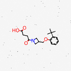 CC(C)(C)c1ccccc1OCC1CN(C(=O)CCC(=O)O)C1